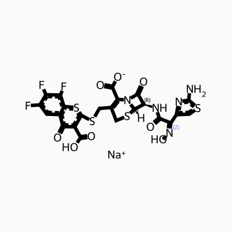 Nc1nc(/C(=N/O)C(=O)N[C@@H]2C(=O)N3C(C(=O)[O-])=C(CSc4sc5c(F)c(F)c(F)cc5c(=O)c4C(=O)O)CS[C@H]23)cs1.[Na+]